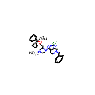 CC(C)(C)[Si](OCCC1CN(C(=O)O)CCN1c1nc(Cl)nc2c1CCN(Cc1ccccc1)C2)(c1ccccc1)c1ccccc1